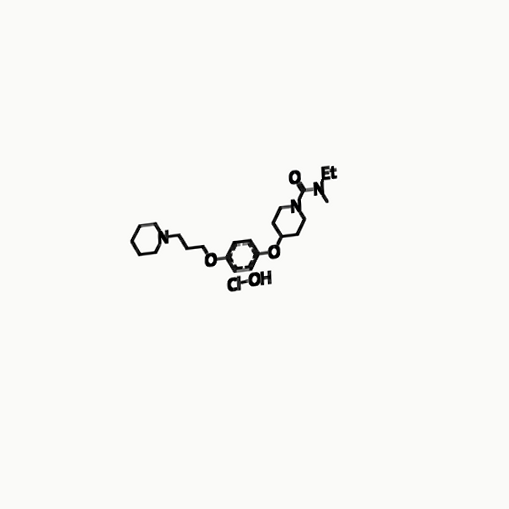 CCN(C)C(=O)N1CCC(Oc2ccc(OCCCN3CCCCC3)cc2)CC1.OCl